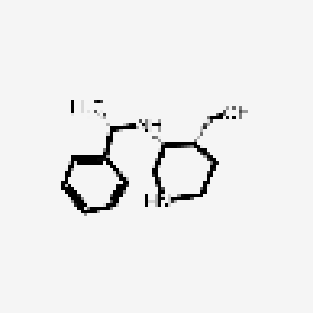 C[C@H](N[C@H]1CNCC[C@H]1CO)c1ccccc1